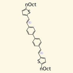 CCCCCCCCc1ccc(/C=C/c2ccc(-c3ccc(/C=C/c4ccc(CCCCCCCC)s4)cc3)cc2)s1